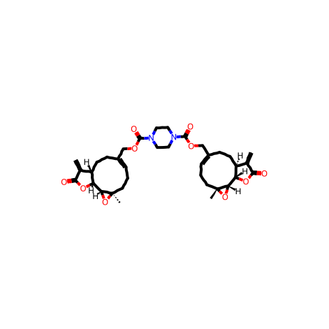 C=C1C(=O)O[C@H]2[C@H]1CC/C(COC(=O)N1CCN(C(=O)OC/C3=C/CC[C@@]4(C)O[C@H]4[C@H]4OC(=O)C(=C)[C@@H]4CC3)CC1)=C\CC[C@@]1(C)O[C@@H]21